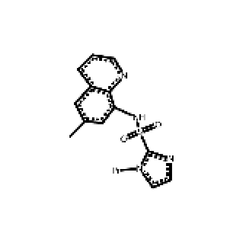 Cc1cc(NS(=O)(=O)c2nccn2C(C)C)c2ncccc2c1